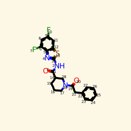 O=C(Nc1nc2c(F)cc(F)cc2s1)C1CCCN(C(=O)Cc2ccccc2)C1